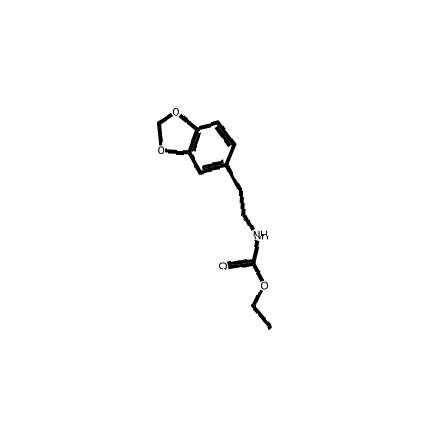 CCOC(=O)NCCc1ccc2c(c1)OCO2